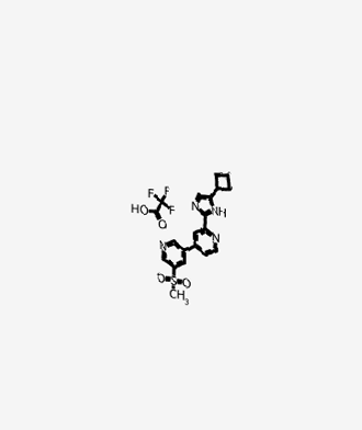 CS(=O)(=O)c1cncc(-c2ccnc(-c3ncc(C4CCC4)[nH]3)c2)c1.O=C(O)C(F)(F)F